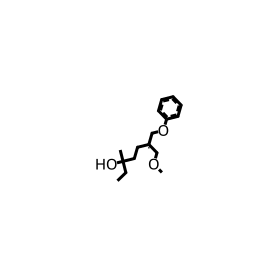 CCC(C)(O)CC[C](COC)COc1ccccc1